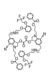 C[C@@H](Cc1cc(C#N)c2c(c1)C(OC(=O)C(=O)OC1CN(CCCOC(=O)c3ccccc3)c3c(C#N)cc(C[C@H](C)NCCOc4ccccc4OCC(F)(F)F)cc31)CN2CCCOC(=O)c1ccccc1)NCCOc1ccccc1OCC(F)(F)F